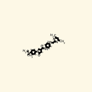 Cc1cc(C)nc(CNc2ccc(NC(=O)C3CC(=O)N(c4ccc(N(C)C)cc4)C3)cc2)n1